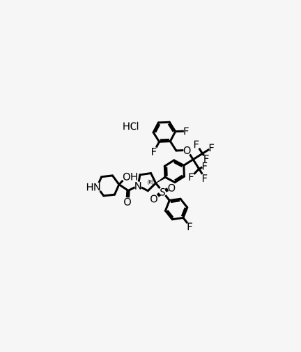 Cl.O=C(N1CC[C@](c2ccc(C(OCc3c(F)cccc3F)(C(F)(F)F)C(F)(F)F)cc2)(S(=O)(=O)c2ccc(F)cc2)C1)C1(O)CCNCC1